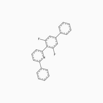 Fc1cc(-c2ccccc2)cc(F)c1-c1cccc(-c2ccccc2)n1